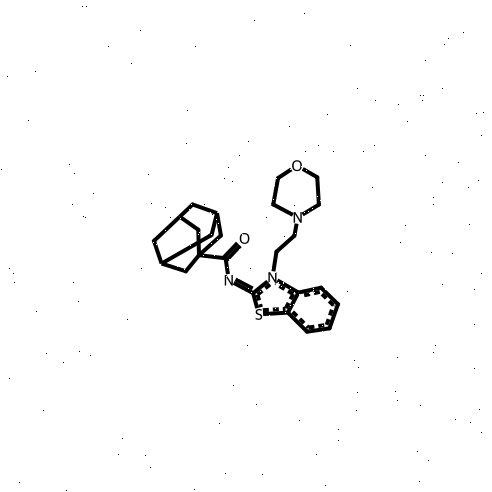 O=C(N=c1sc2ccccc2n1CCN1CCOCC1)C12CC3CC(CC(C3)C1)C2